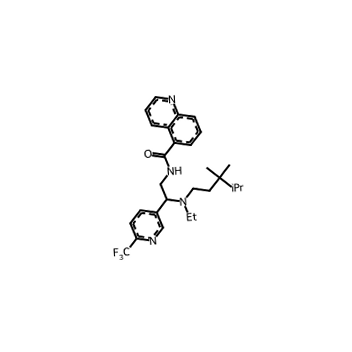 CCN(CCC(C)(C)C(C)C)C(CNC(=O)c1cccc2ncccc12)c1ccc(C(F)(F)F)nc1